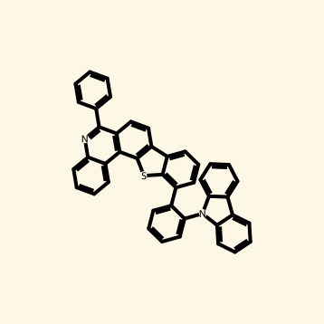 c1ccc(-c2nc3ccccc3c3c2ccc2c4cccc(-c5ccccc5-n5c6ccccc6c6ccccc65)c4sc23)cc1